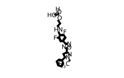 CCN1N=C(c2nc(-c3cc(F)c(CNCCCO[PH](=O)O)c(F)c3)no2)CC1c1ccccc1